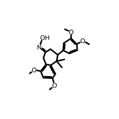 COc1cc(OC)c2c(c1)C(C)(C)C(c1ccc(OC)c(OC)c1)CC(=NO)C2